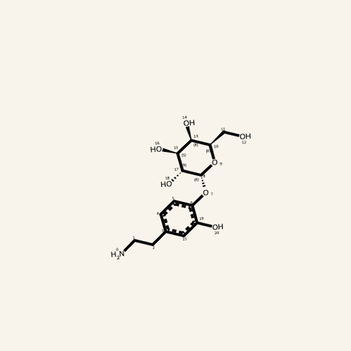 NCCc1ccc(O[C@H]2O[C@H](CO)[C@H](O)[C@H](O)[C@H]2O)c(O)c1